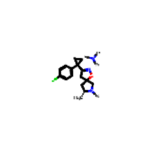 CC(=O)N1CC2(CC(C3(c4ccc(Cl)cc4)CC3)=NO2)C[C@H]1C(=O)O.CCN(C(C)C)C(C)C